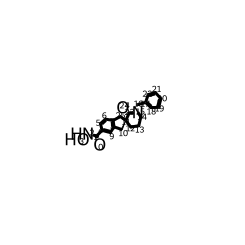 O=C(NO)c1ccc2c(c1)C[C@@]1(CCCN(Cc3ccccc3)C1=O)C2